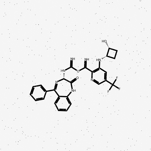 N=C(N[C@H]1N=C(c2ccccc2)c2ccccc2NC1=O)OC(=N)c1ncc(C(F)(F)F)cc1N[C@H]1CC[C@H]1O